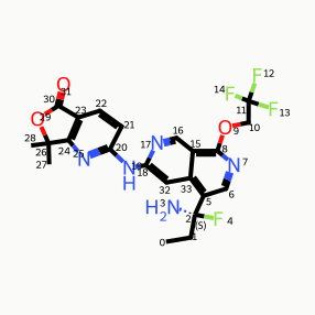 CC[C@](N)(F)c1cnc(OCC(F)(F)F)c2cnc(Nc3ccc4c(n3)C(C)(C)OC4=O)cc12